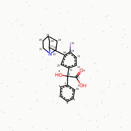 O=C(O)C(O)(c1ccccc1)c1ccc(I)c(C2CC3CCN2CC3)c1